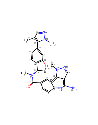 CN(C(=O)c1ccc2nc(N)c3cnn(C)c3c2c1)[C@@H]1COc2cc(-c3c(C(F)(F)F)cnn3C)ccc21